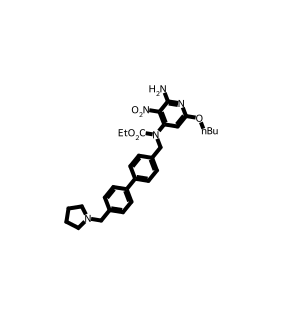 CCCCOc1cc(N(Cc2ccc(-c3ccc(CN4CCCC4)cc3)cc2)C(=O)OCC)c([N+](=O)[O-])c(N)n1